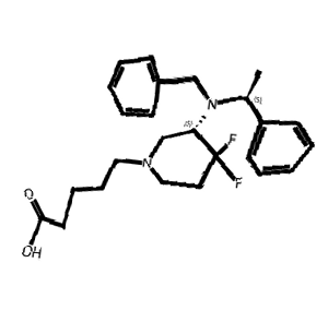 C[C@@H](c1ccccc1)N(Cc1ccccc1)[C@H]1CN(CCCCC(=O)O)CCC1(F)F